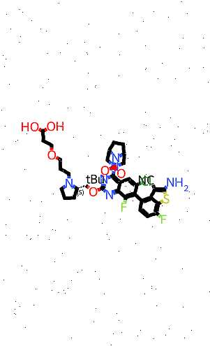 CC(C)(C)OC(=O)N1C2CCC1CN(c1nc(OC[C@@H]3CCCN3CCCOCCC(O)O)nc3c(F)c(-c4ccc(F)c5sc(N)c(C#N)c45)c(Cl)cc13)C2